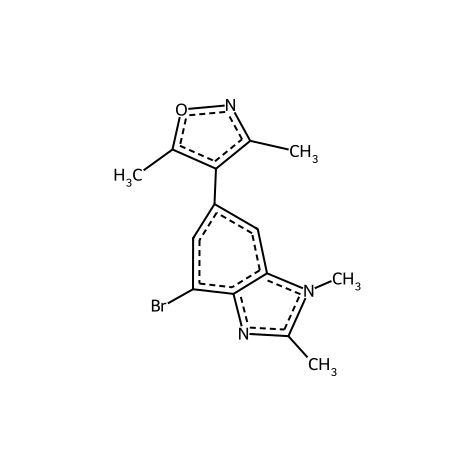 Cc1noc(C)c1-c1cc(Br)c2nc(C)n(C)c2c1